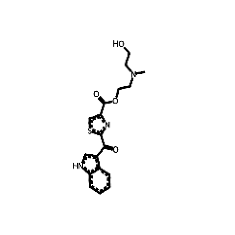 CN(CCO)CCOC(=O)c1csc(C(=O)c2c[nH]c3ccccc23)n1